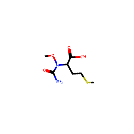 CON(C(N)=O)C(CCSC)C(=O)O